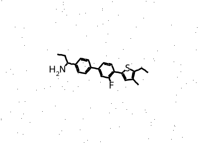 CCc1sc(-c2ccc(-c3ccc(C(N)CC)cc3)cc2F)cc1C